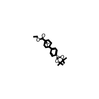 CCOC(=O)C12CCC(c3ccc(B4OC(C)(C)C(C)(C)O4)cc3)(CC1)CC2